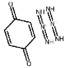 N=[N+]=N.N=[N+]=N.O=C1C=CC(=O)C=C1